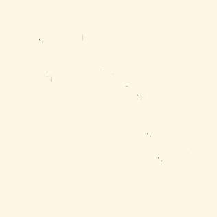 Cc1ccc2ncc(F)c(CC(O)C34CCC(NCc5ccc6c(n5)NC(=O)CO6)(CC3)CO4)c2n1